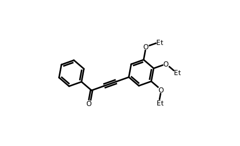 CCOc1cc(C#CC(=O)c2ccccc2)cc(OCC)c1OCC